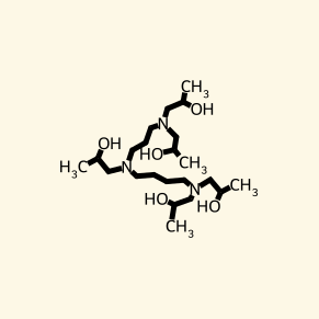 CC(O)CN(CCCCN(CC(C)O)CC(C)O)CCCN(CC(C)O)CC(C)O